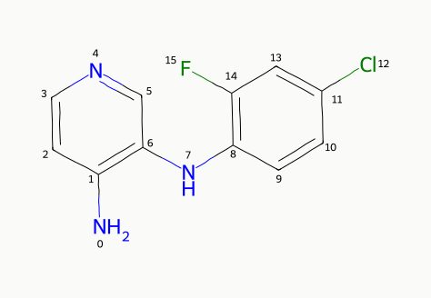 Nc1ccncc1Nc1ccc(Cl)cc1F